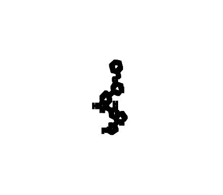 Fc1ccc(-c2nccc3[nH]c(-c4n[nH]c5ccc(-c6cncc(OCc7ccccc7)c6)cc45)cc23)s1